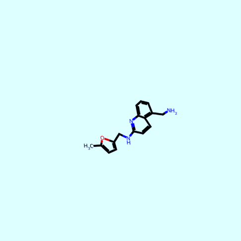 Cc1ccc(CNc2ccc3c(CN)cccc3n2)o1